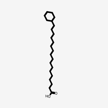 O=C(O)CCCCCCCCCCCCCCCCC1CCCCC1